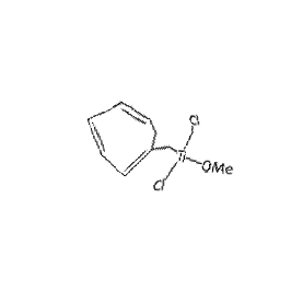 C[O][Ti]([Cl])([Cl])[c]1ccccc1